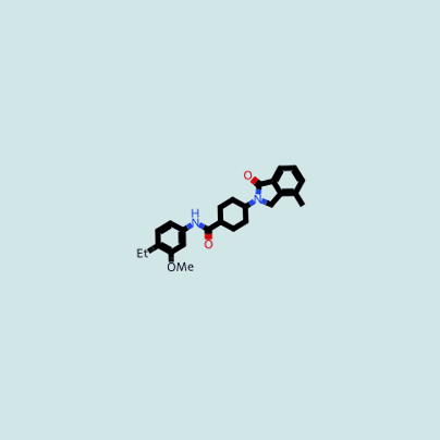 CCc1ccc(NC(=O)C2CCC(N3Cc4c(C)cccc4C3=O)CC2)cc1OC